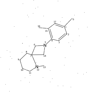 Cc1ccc(N2CC3(CCCCN3C)C2)c(C)c1